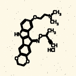 C#CC(C)O/N=C1/c2cc3c(cc2-c2[nH]c4ccc(OCCN(C)C)cc4c21)OCCO3.Cl